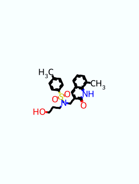 Cc1ccc(S(=O)(=O)N(CCCO)Cc2cc3cccc(C)c3[nH]c2=O)cc1